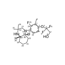 Cc1c(OC(F)(F)CO)ccc(N2CC(C)(C)N[C@H]3CCCC[C@H]32)c1F